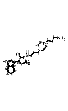 NCCCN1CCN(CCCNN2C(=O)C=C(c3c[nH]c4ccccc34)C2=O)CC1